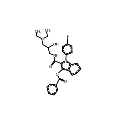 CCN(CC)CC(O)CNC(=O)c1c(OC(=O)c2ccccc2)c2ccccc2n1-c1ccc(F)cc1